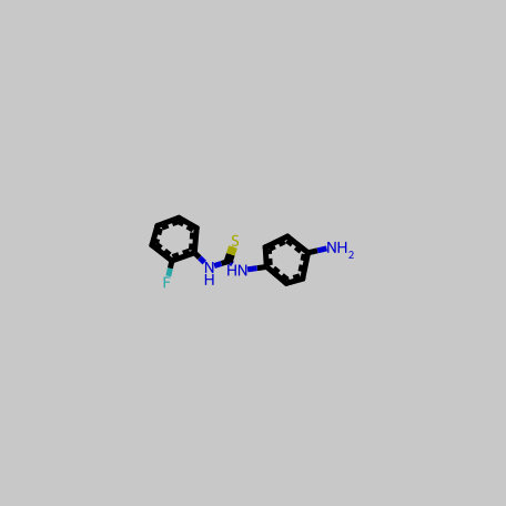 Nc1ccc(NC(=S)Nc2ccccc2F)cc1